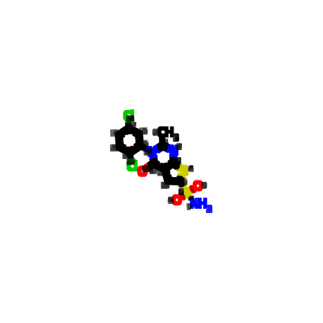 Cc1nc2sc(S(N)(=O)=O)cc2c(=O)n1-c1cc(Cl)ccc1Cl